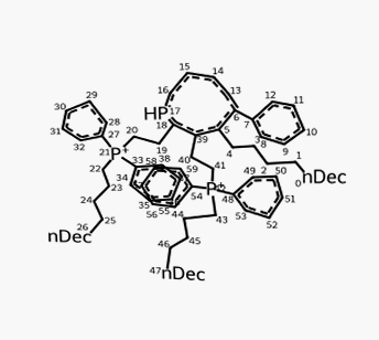 CCCCCCCCCCCCCCc1c(-c2ccccc2)cccc[pH]c(CC[P+](CCCCCCCCCCCCCC)(c2ccccc2)c2ccccc2)c1CC[P+](CCCCCCCCCCCCCC)(c1ccccc1)c1ccccc1